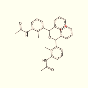 CC(=O)Nc1cccc(C(OC(c2ccccc2)c2cccc(NC(C)=O)c2C)c2ccccc2)c1C